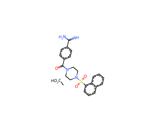 CC(=O)O.N=C(N)c1ccc(C(=O)N2CCN(S(=O)(=O)c3cccc4ccccc34)CC2)cc1